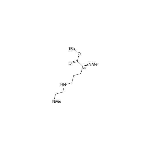 CNCCNCCC[C@H](NC)C(=O)OC(C)(C)C